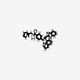 O=C(NCc1ccccn1)c1ccc(CN(Cc2nc3ccccc3[nH]2)C2CCCc3cccnc32)cc1